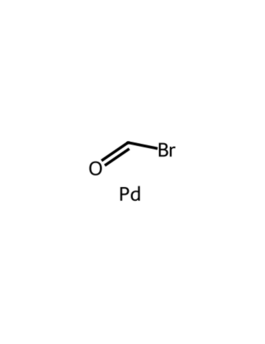 O=CBr.[Pd]